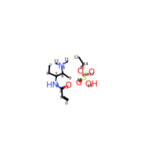 C=CC(=O)NC(CC)C(C)N(C)C.CCOS(=O)(=O)O